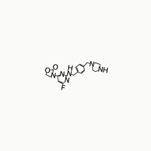 O=C1OCCN1c1cc(F)nc(NCc2ccc(CN3CCNCC3)cc2)n1